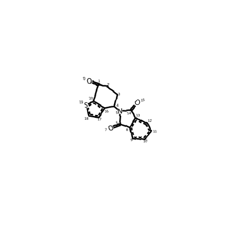 O=C1CCC(N2C(=O)c3ccccc3C2=O)c2ccsc21